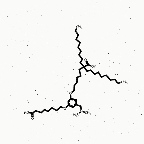 CCCCCCCCCCC(CCCCCCCCCC)(CCCCCCOc1cc(CN(C)C)cc(OCCCCCCCC(=O)O)c1)C(=O)O